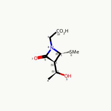 CS[C@@H]1[C@@H]([C@H](C)O)C(=O)N1CC(=O)O